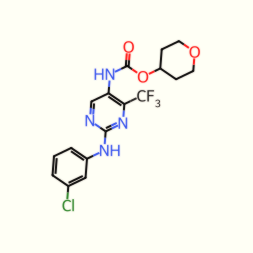 O=C(Nc1cnc(Nc2cccc(Cl)c2)nc1C(F)(F)F)OC1CCOCC1